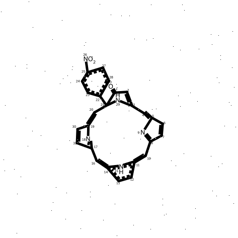 O=C1C=C2C=C3C=CC(=N3)C=c3ccc([nH]3)=CC3=NC(=CC1(c1ccc([N+](=O)[O-])cc1)N2)C=C3